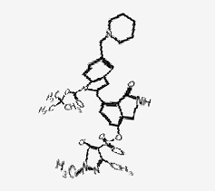 Cc1nn(C)c(Cl)c1S(=O)(=O)Oc1ccc(-c2cc3cc(CN4CCCCC4)ccc3n2C(=O)OC(C)(C)C)c2c1CNC2=O